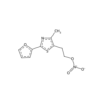 Cc1nc(-c2ccco2)sc1CCO[N+](=O)[O-]